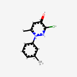 Cc1cc(=O)c(Cl)nn1-c1cccc(C(F)(F)F)c1